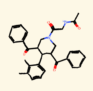 CC(=O)NCC(=O)N1CC(C(=O)c2ccccc2)C(c2cccc(C)c2C)C(C(=O)c2ccccc2)C1